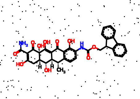 C[C@H]1c2ccc(NC(=O)OCC3c4ccccc4-c4ccccc43)c(O)c2C(=O)C2=C(O)[C@]3(O)C(=O)C(C(N)=O)=C(O)C[C@@H]3[C@@H](O)[C@@H]21